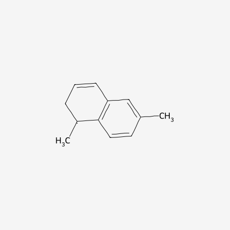 C[C]1CC=Cc2cc(C)ccc21